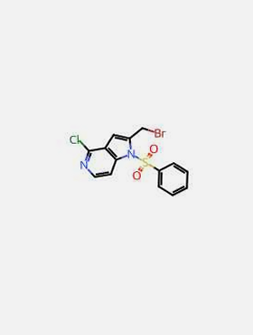 O=S(=O)(c1ccccc1)n1c(CBr)cc2c(Cl)nccc21